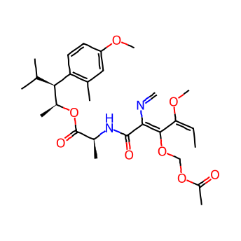 C=N/C(C(=O)N[C@@H](C)C(=O)O[C@@H](C)[C@H](c1ccc(OC)cc1C)C(C)C)=C(OCOC(C)=O)\C(=C/C)OC